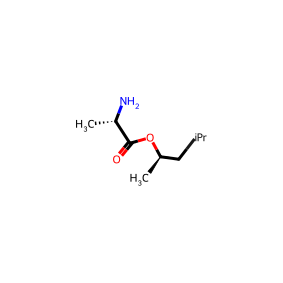 CC(C)C[C@@H](C)OC(=O)[C@H](C)N